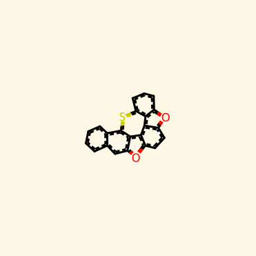 c1ccc2c(c1)cc1oc3ccc4oc5cccc6sc2c1c3c4c56